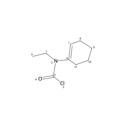 CCN(C(=O)Cl)C1=CCCCC1